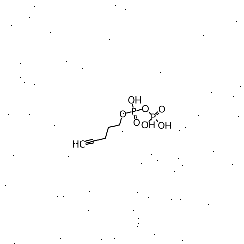 C#CCCCOP(=O)(O)OP(=O)(O)O